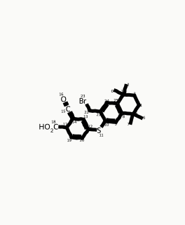 CC1(C)CCC(C)(C)c2cc(SC3=CC(=C=O)C(C(=O)O)C=C3)c(CBr)cc21